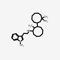 CC1C(NCCc2cn(C)c3ccccc23)CCCCCCC1C1CCCCCCC(C)(N)C1